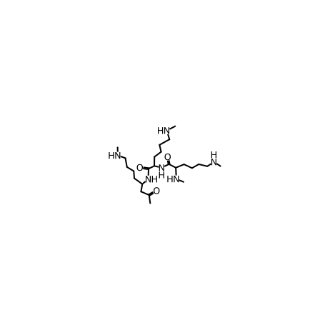 CNCCCCC(CC(C)=O)NC(=O)C(CCCCNC)NC(=O)C(CCCCNC)NC